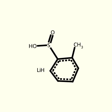 Cc1ccccc1S(=O)O.[LiH]